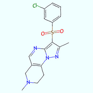 Cc1nn2c3c(cnc2c1S(=O)(=O)c1cccc(Cl)c1)CN(C)CC3